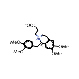 COc1ccc(C[C@@H]2c3cc(OC)c(OC)cc3CC[N@+]2(C)CCC(=O)[O-])cc1OC